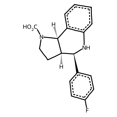 O=C(O)N1CC[C@@H]2[C@H](c3ccc(F)cc3)Nc3ccccc3[C@@H]21